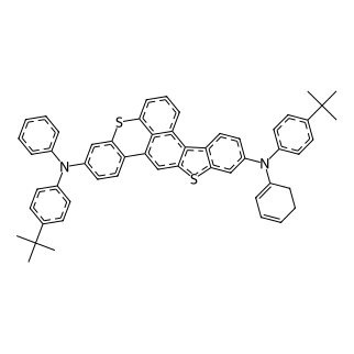 CC(C)(C)c1ccc(N(C2=CC=CCC2)c2ccc3c(c2)sc2cc4c5c(cccc5c23)Sc2cc(N(c3ccccc3)c3ccc(C(C)(C)C)cc3)ccc2-4)cc1